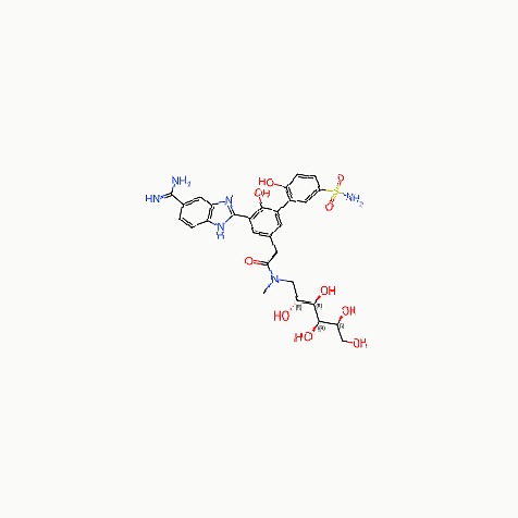 CN(C[C@@H](O)[C@@H](O)[C@H](O)[C@@H](O)CO)C(=O)Cc1cc(-c2nc3cc(C(=N)N)ccc3[nH]2)c(O)c(-c2cc(S(N)(=O)=O)ccc2O)c1